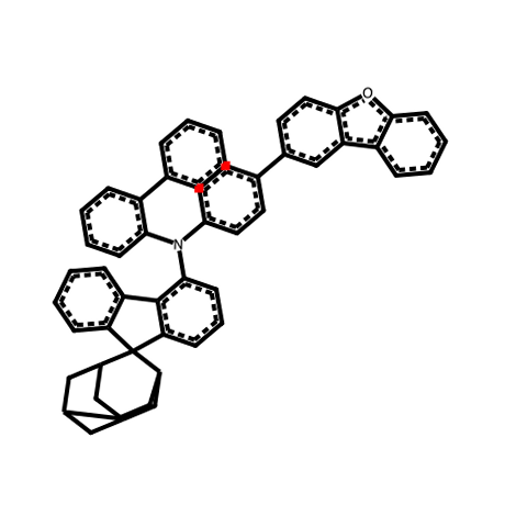 c1ccc(-c2ccccc2N(c2ccc(-c3ccc4oc5ccccc5c4c3)cc2)c2cccc3c2-c2ccccc2C32C3CCC4CC(C3)CC2C4)cc1